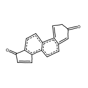 O=C1C=c2ccc3c4c(ccc3c2=CC1)C(=O)C=C4